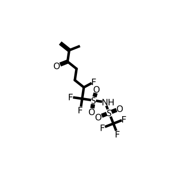 C=C(C)C(=O)CCC(F)C(F)(F)S(=O)(=O)NS(=O)(=O)C(F)(F)F